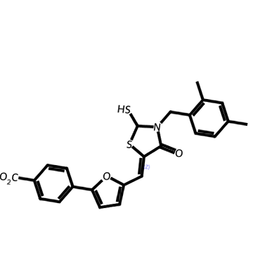 Cc1ccc(CN2C(=O)/C(=C/c3ccc(-c4ccc(C(=O)O)cc4)o3)SC2S)c(C)c1